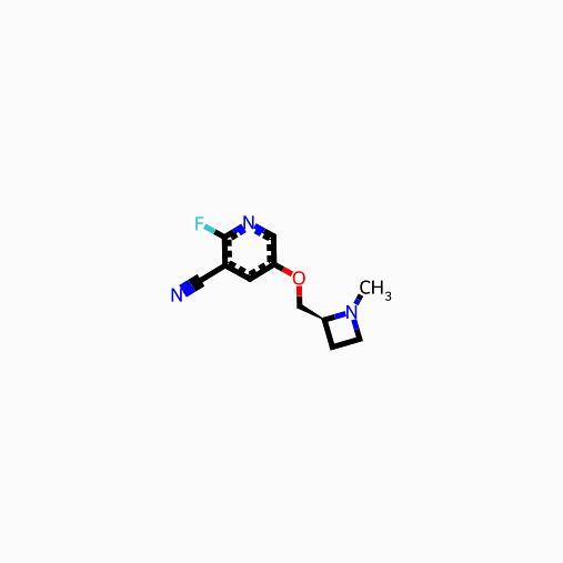 CN1CC[C@H]1COc1cnc(F)c(C#N)c1